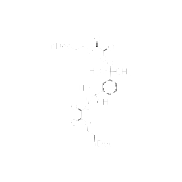 CCCCCCCCCCCCOC(=O)C(=O)OOC(C)(C)c1cccc(C(C)(C)OOC(=O)C(=O)OCCCCCCCCCCCC)c1